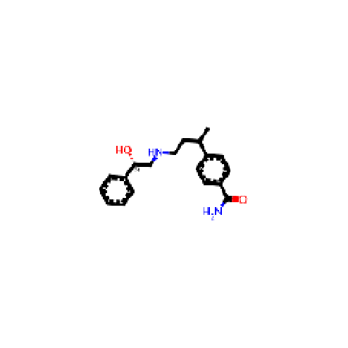 CC(CCNC[C@@H](O)c1ccccc1)c1ccc(C(N)=O)cc1